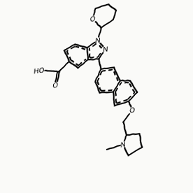 CN1CCCC1COc1ccc2cc(-c3nn(C4CCCCO4)c4ccc(C(=O)O)cc34)ccc2c1